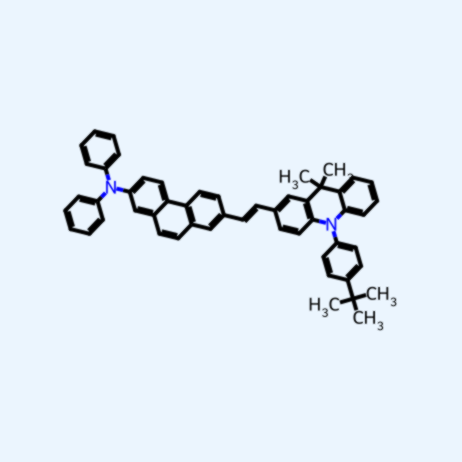 CC(C)(C)c1ccc(N2c3ccccc3C(C)(C)c3cc(/C=C/c4ccc5c(ccc6cc(N(c7ccccc7)c7ccccc7)ccc65)c4)ccc32)cc1